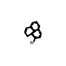 Brc1ccc2cccc3c2c1CC=C3